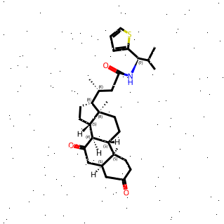 CC(C)[C@@H](NC(=O)C[C@@H](C)[C@H]1CC[C@H]2[C@@H]3C(=O)C[C@@H]4CC(=O)CC[C@]4(C)[C@H]3CC[C@]12C)c1cccs1